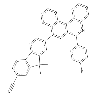 CC1(C)c2cc(C#N)ccc2-c2ccc(-c3cc4c(-c5ccc(F)cc5)nc5ccccc5c4c4ccccc34)cc21